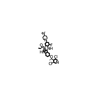 C=CC(=O)Nc1cc(N2CCC(N(C)C)CC2)cc(F)c1Nc1n[nH]c2ccc(O[C@H](C)c3c(Cl)cncc3Cl)cc12